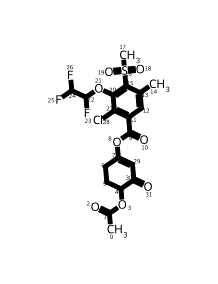 CC(=O)OC1CCC(OC(=O)c2cc(C)c(S(C)(=O)=O)c(OC(F)C(F)F)c2Cl)=CC1=O